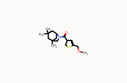 COCC1=CC(C(=O)N2CC3(C)CC2CC(C)(C)C3)CS1